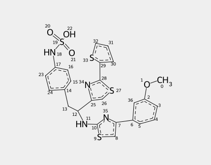 COc1cccc(-c2csc(NC(Cc3ccc(NS(=O)(=O)O)cc3)c3csc(-c4cccs4)n3)n2)c1